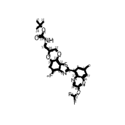 Cc1cc(-c2nc3c(F)cc4c(c3s2)OCC(CNC(=O)OC(C)(C)C)O4)c2ncc(OC(F)F)nc2c1